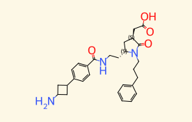 NC1CC(c2ccc(C(=O)NCC[C@@H]3C[C@@H](CC(=O)O)C(=O)N3CCCc3ccccc3)cc2)C1